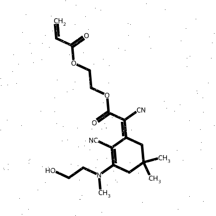 C=CC(=O)OCCOC(=O)/C(C#N)=C1/CC(C)(C)CC(N(C)CCO)=C1C#N